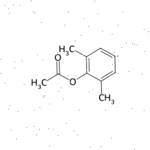 CC(=O)Oc1c(C)c[c]cc1C